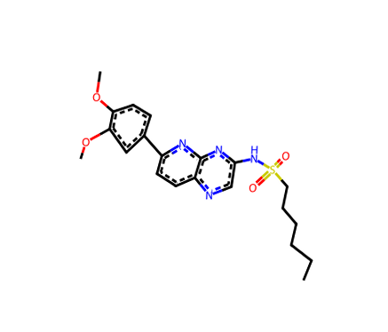 CCCCCCS(=O)(=O)Nc1cnc2ccc(-c3ccc(OC)c(OC)c3)nc2n1